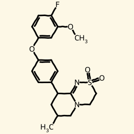 COc1cc(Oc2ccc(C3CC(C)CN4CCS(=O)(=O)N=C34)cc2)ccc1F